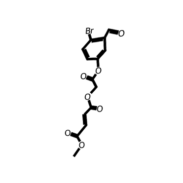 COC(=O)C=CC(=O)OCC(=O)Oc1ccc(Br)c(C=O)c1